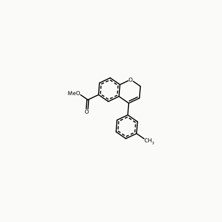 COC(=O)c1ccc2c(c1)C(c1cccc(C)c1)=CCO2